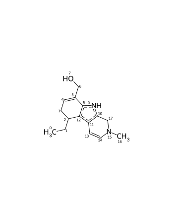 CCC1CC=C(CO)c2[nH]c3c(c21)C=CN(C)C3